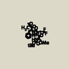 COC[C@H](NC(=O)OC(C)(C)C)C(=O)N[C@@H](COC(F)F)C(=O)N[C@@H](Cc1ccccc1)C(=O)[C@@]1(C)CO1